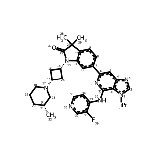 CC(C)n1cnc2cc(-c3ccc4c(c3)N([C@H]3C[C@@H](N5CCC[C@@H](C)C5)C3)C(=O)C4(C)C)nc(Nc3ccncc3F)c21